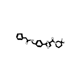 O=C(Cc1ccccc1)NCc1ccc(-c2nc(C(=O)N3CCCC(F)(F)C3)co2)cc1